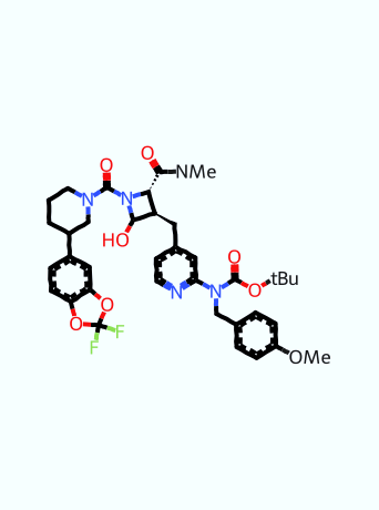 CNC(=O)[C@@H]1[C@@H](Cc2ccnc(N(Cc3ccc(OC)cc3)C(=O)OC(C)(C)C)c2)C(O)N1C(=O)N1CCCC(c2ccc3c(c2)OC(F)(F)O3)C1